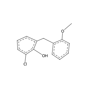 COc1ccccc1Cc1cccc(Cl)c1O